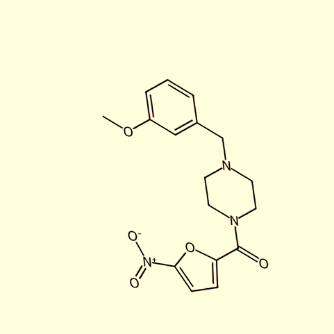 COc1cccc(CN2CCN(C(=O)c3ccc([N+](=O)[O-])o3)CC2)c1